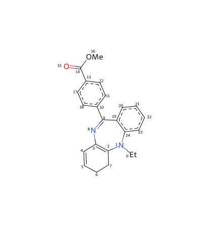 CCN1C2=C(C=CCC2)N=C(c2ccc(C(=O)OC)cc2)c2ccccc21